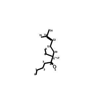 CCCCC(=O)[C@@](C)(CC)CCC=C(C)C